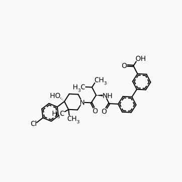 CC(C)[C@@H](NC(=O)c1cccc(-c2cccc(C(=O)O)c2)c1)C(=O)N1CC[C@](O)(c2ccc(Cl)cc2)C(C)(C)C1